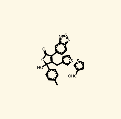 Cc1ccc(C2(O)OC(=O)C(c3ccc4nsnc4c3)=C2Cc2ccsc2)cc1.O=Cc1ccsc1